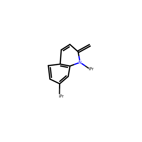 C=C1C=Cc2ccc(C(C)C)cc2N1C(C)C